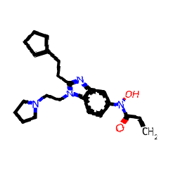 C=CC(=O)N(O)c1ccc2c(c1)nc(CCC1CCCC1)n2CCN1CCCC1